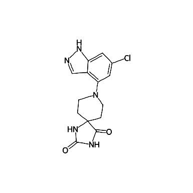 O=C1NC(=O)C2(CCN(c3cc(Cl)cc4[nH]ncc34)CC2)N1